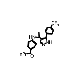 CCCC(=O)c1ccc(NC(C)c2cn[nH]c2-c2ccc(C(F)(F)F)cc2)cc1